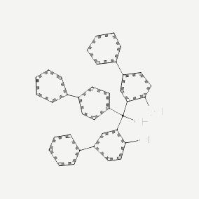 CC(c1ccc(-c2ccccc2)cc1)(c1cc(-c2ccccc2)ccc1O)c1cc(-c2ccccc2)ccc1O